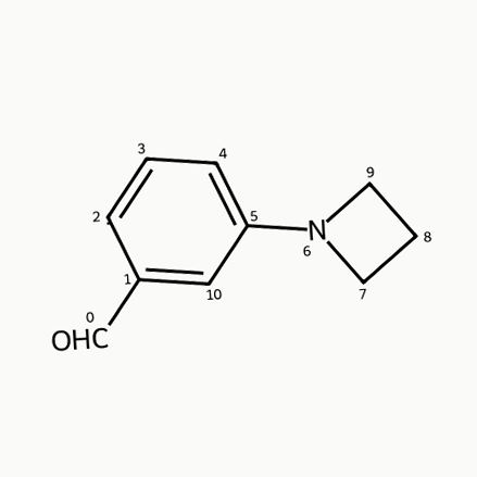 O=Cc1[c]ccc(N2CCC2)c1